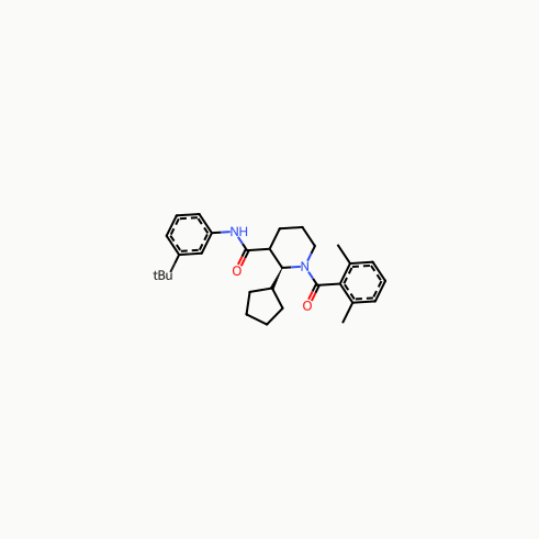 Cc1cccc(C)c1C(=O)N1CCCC(C(=O)Nc2cccc(C(C)(C)C)c2)[C@@H]1C1CCCC1